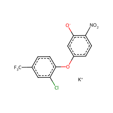 O=[N+]([O-])c1ccc(Oc2ccc(C(F)(F)F)cc2Cl)cc1[O-].[K+]